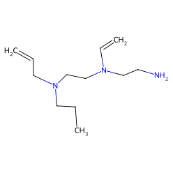 C=CCN(CCC)CCN(C=C)CCN